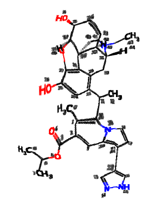 Cc1c(C(=O)OC(C)C)cc2c(-c3cn[nH]c3)ccn2c1C(C)c1cc(O)c2c3c1C[C@@H]1[C@@H]4C=C[C@H](O)[C@H](O2)[C@]34CCN1C